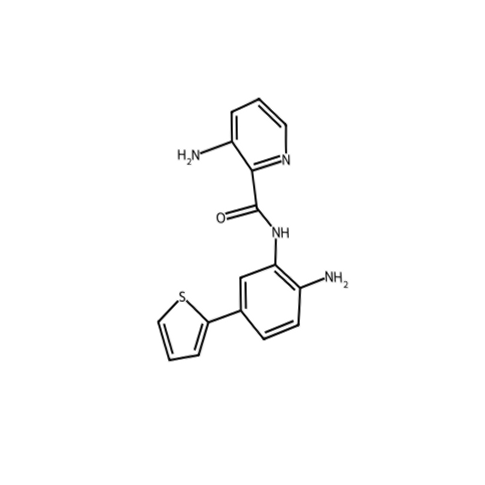 Nc1ccc(-c2cccs2)cc1NC(=O)c1ncccc1N